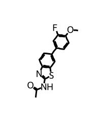 COc1ccc(-c2ccc3nc(NC(C)=O)sc3c2)cc1F